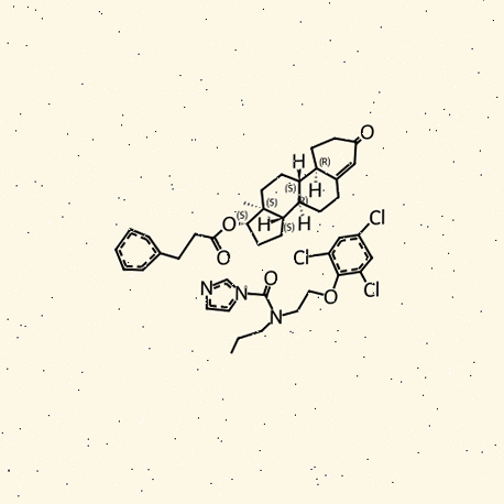 CCCN(CCOc1c(Cl)cc(Cl)cc1Cl)C(=O)n1ccnc1.C[C@]12CC[C@H]3[C@@H](CCC4=CC(=O)CC[C@@H]43)[C@@H]1CC[C@@H]2OC(=O)CCc1ccccc1